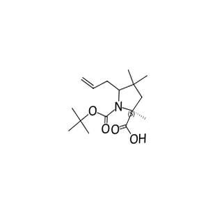 C=CCC1N(C(=O)OC(C)(C)C)[C@](C)(C(=O)O)CC1(C)C